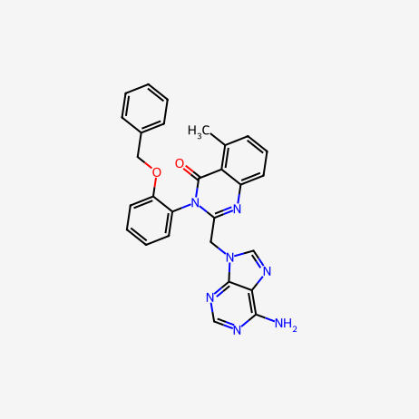 Cc1cccc2nc(Cn3cnc4c(N)ncnc43)n(-c3ccccc3OCc3ccccc3)c(=O)c12